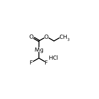 CCO[C](=O)[Mg][CH](F)F.Cl